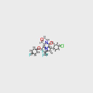 Cc1c(-c2ccc(Cl)cc2)c(C(=O)N2CCOCC2)n(CCOc2ccc(F)cc2)c1C(F)(F)F